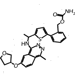 Cc1nnc(NC(C)c2ccc(-c3ccccc3COC(N)=O)s2)c2cc(O[C@H]3CCOC3)ccc12